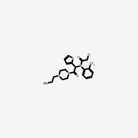 CC(C)(C)CCN1CCN(C(=O)C(c2cccs2)N(C(=O)CCl)c2ccccc2C(F)(F)F)CC1